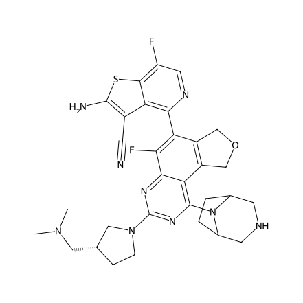 CN(C)C[C@H]1CCN(c2nc(N3C4CCC3CNC4)c3c4c(c(-c5ncc(F)c6sc(N)c(C#N)c56)c(F)c3n2)COC4)C1